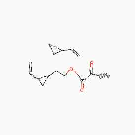 C=CC1CC1.C=CC1CC1CCOC(=O)C(=O)OC